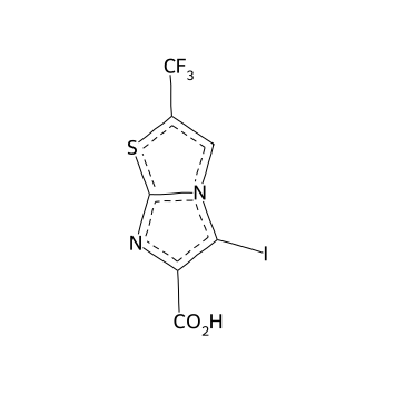 O=C(O)c1nc2sc(C(F)(F)F)cn2c1I